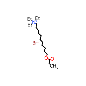 C=CC(=O)OCCCCCCCCCCC[N+](CC)(CC)CC.[Br-]